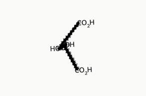 O=C(O)CCCCCCCCCCCCCCCC1CC(CO)OC1(CO)CCCCCCCCCCCCCCCC(=O)O